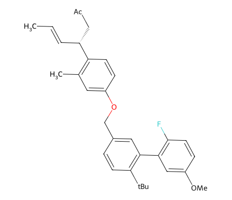 C/C=C/[C@H](CC(C)=O)c1ccc(OCc2ccc(C(C)(C)C)c(-c3cc(OC)ccc3F)c2)cc1C